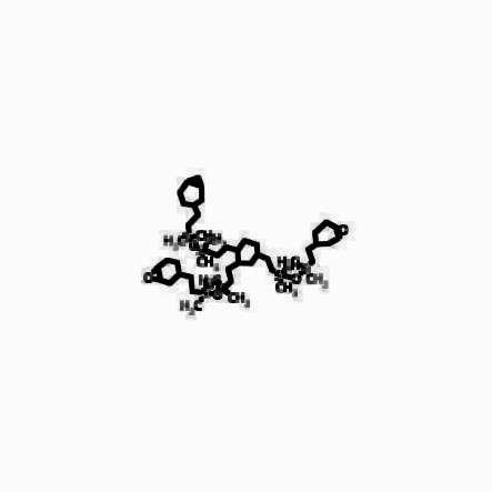 C[Si](C)(CCC1CCC(CC[Si](C)(C)O[Si](C)(C)CCC2CCC3CC3C2)C(CC[Si](C)(C)O[Si](C)(C)CCC2CCC3OC3C2)C1)O[Si](C)(C)CCC1CCC2OC2C1